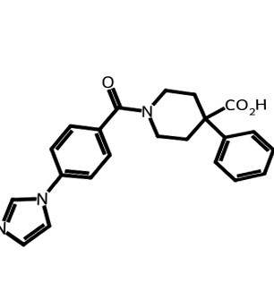 O=C(c1ccc(-n2ccnc2)cc1)N1CCC(C(=O)O)(c2ccccc2)CC1